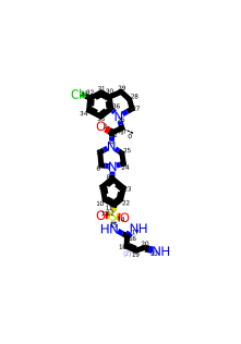 C[C@H](C(=O)N1CCN(c2ccc(S(=O)(=O)NC(=N)/C=C\C=N)cc2)CC1)N1CCCc2cc(Cl)ccc21